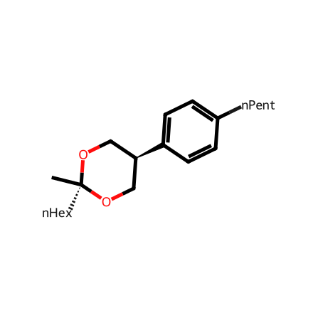 CCCCCC[C@]1(C)OC[C@@H](c2ccc(CCCCC)cc2)CO1